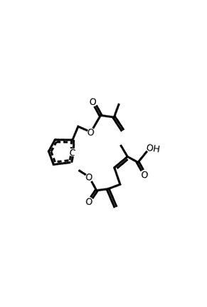 C=C(C)C(=O)OCc1ccccc1.C=C(CC=C(C)C(=O)O)C(=O)OC